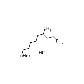 CCCCCCCCCCCC(C)CCP.Cl